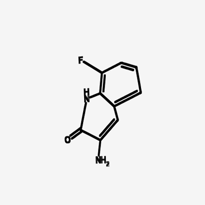 Nc1cc2cccc(F)c2[nH]c1=O